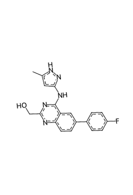 Cc1cc(Nc2nc(CO)nc3ccc(-c4ccc(F)cc4)cc23)n[nH]1